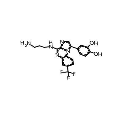 NCCCNc1nc2cc(C(F)(F)F)ccc2n2c(-c3ccc(O)c(O)c3)cnc12